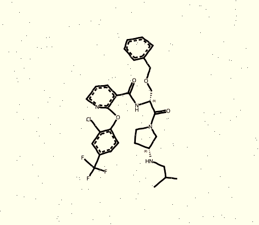 CC(C)CN[C@@H]1CCN(C(=O)[C@@H](COCc2ccccc2)NC(=O)c2cccnc2Oc2ccc(C(F)(F)F)cc2Cl)C1